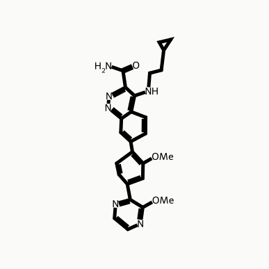 COc1cc(-c2nccnc2OC)ccc1-c1ccc2c(NCCC3CC3)c(C(N)=O)nnc2c1